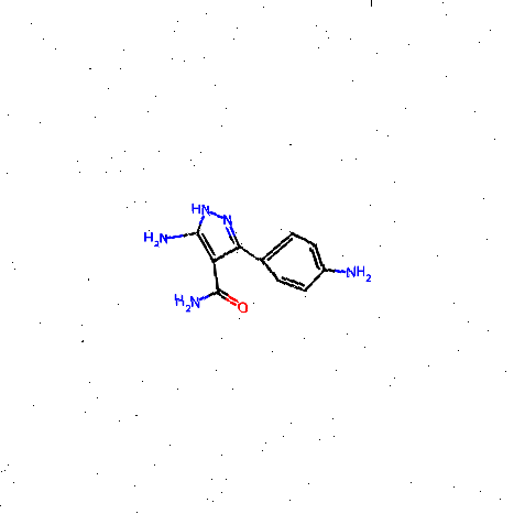 NC(=O)c1c(-c2ccc(N)cc2)n[nH]c1N